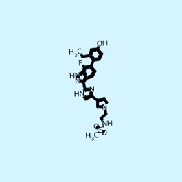 CCc1cc(O)ccc1-c1ccc2c(-c3nc(C4=CCN(CCNS(C)(=O)=O)C4)c[nH]3)n[nH]c2c1F